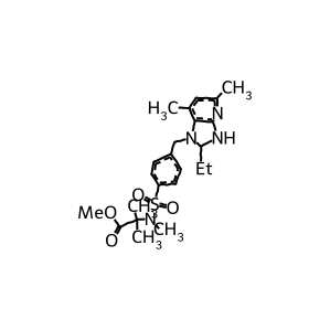 CCC1Nc2nc(C)cc(C)c2N1Cc1ccc(S(=O)(=O)N(C)C(C)(C)C(=O)OC)cc1